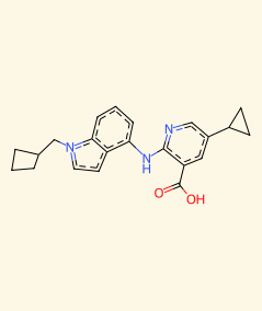 O=C(O)c1cc(C2CC2)cnc1Nc1cccc2c1ccn2CC1CCC1